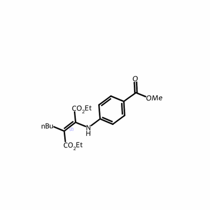 CCCC/C(C(=O)OCC)=C(/Nc1ccc(C(=O)OC)cc1)C(=O)OCC